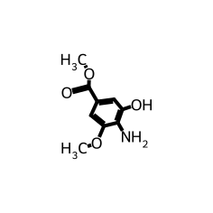 COC(=O)c1cc(O)c(N)c(OC)c1